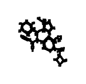 C#CC(=O)N(c1ccc(NC2CCC2)c(Cl)c1)C(c1ccccc1)c1nccn1C